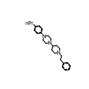 CCCc1ccc(N2CCN(C3CCN(CCc4ccccc4)CC3)CC2)cc1